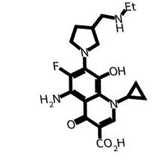 CCNCC1CCN(c2c(F)c(N)c3c(=O)c(C(=O)O)cn(C4CC4)c3c2O)C1